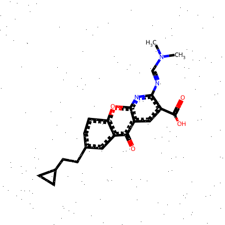 CN(C)C=Nc1nc2oc3ccc(CCC4CC4)cc3c(=O)c2cc1C(=O)O